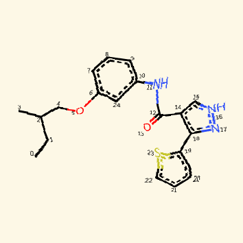 CCC(C)COc1cccc(NC(=O)c2c[nH]nc2-c2cccs2)c1